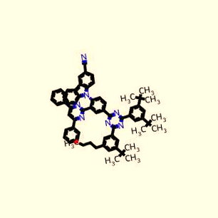 CCCCc1cc(-c2nc(-c3cc(C(C)(C)C)cc(C(C)(C)C)c3)nc(-c3ccc(-n4c5ccccc5c5cc(C#N)ccc54)c(-c4nc(-c5ccccc5)cc(-c5ccccc5)n4)c3)n2)cc(C(C)(C)C)c1